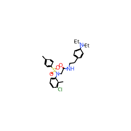 CCN(CC)c1ccc(CCNC(=O)CN(c2cccc(Cl)c2C)S(=O)(=O)c2ccc(C)cc2)cc1